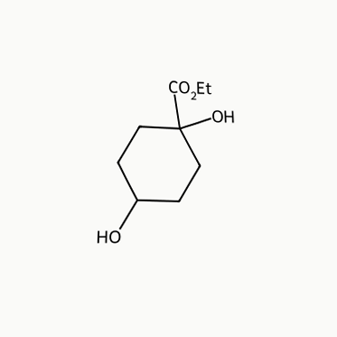 CCOC(=O)C1(O)CCC(O)CC1